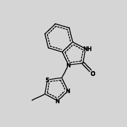 Cc1nnc(-n2c(=O)[nH]c3ccccc32)s1